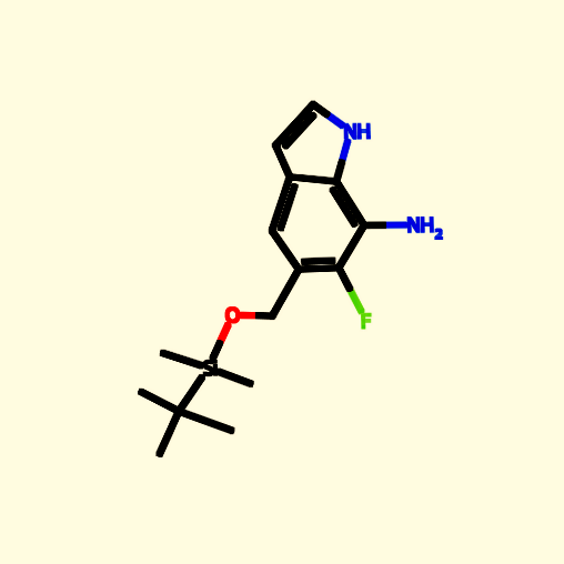 CC(C)(C)[Si](C)(C)OCc1cc2cc[nH]c2c(N)c1F